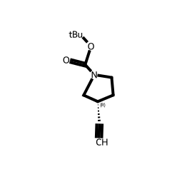 C#C[C@H]1CCN(C(=O)OC(C)(C)C)C1